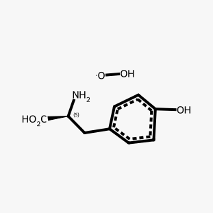 N[C@@H](Cc1ccc(O)cc1)C(=O)O.[O]O